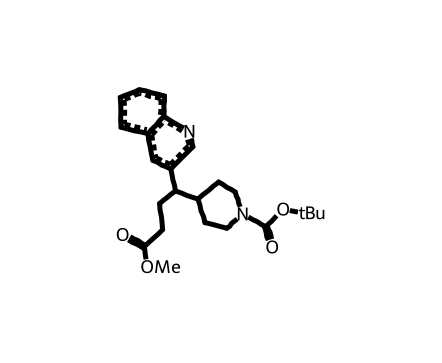 COC(=O)CCC(c1cnc2ccccc2c1)C1CCN(C(=O)OC(C)(C)C)CC1